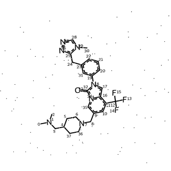 CN(C)CC1CCN(Cc2cc(C(F)(F)F)c3cn(-c4cccc(Cc5nncn5C)c4)c(=O)n3c2)CC1